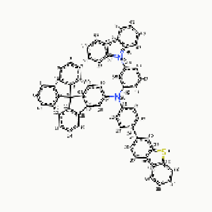 c1ccc(C2(c3ccccc3)c3ccccc3-c3cc(N(c4ccc(-c5ccc6c(c5)sc5ccccc56)cc4)c4cccc(-n5c6ccccc6c6ccccc65)c4)ccc32)cc1